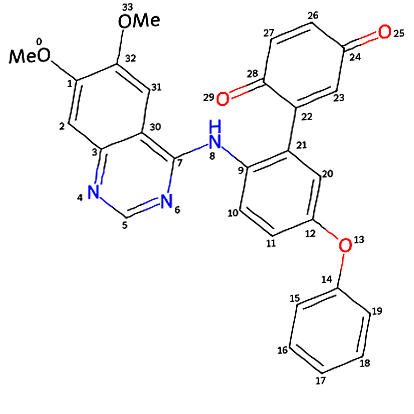 COc1cc2ncnc(Nc3ccc(Oc4ccccc4)cc3C3=CC(=O)C=CC3=O)c2cc1OC